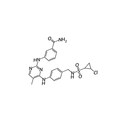 Cc1cnc(Nc2cccc(C(N)=O)c2)nc1Nc1ccc(CNS(=O)(=O)C2CC2Cl)cc1